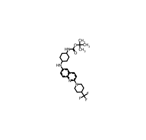 CC(C)(C)OC(=O)NC1CCC(Nc2ccc3nc(N4CCC(C(F)(F)F)CC4)ccc3c2)CC1